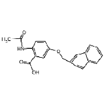 CC(=O)Nc1ccc(OCc2ccc3ccccc3c2)cc1C(=O)O